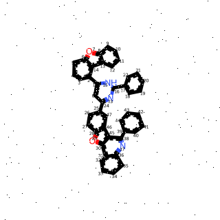 C1=C(c2cccc3oc4ccccc4c23)NC(c2ccccc2)N=C1c1ccc2oc3c4ccccc4nc(-c4ccccc4)c3c2c1